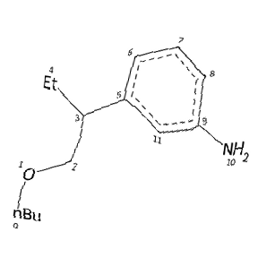 CCCCOCC(CC)c1cccc(N)c1